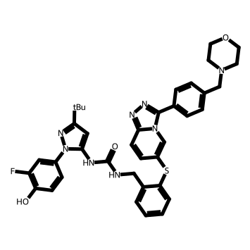 CC(C)(C)c1cc(NC(=O)NCc2ccccc2Sc2ccc3nnc(-c4ccc(CN5CCOCC5)cc4)n3c2)n(-c2ccc(O)c(F)c2)n1